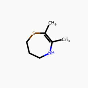 CC1=C(C)SCCCN1